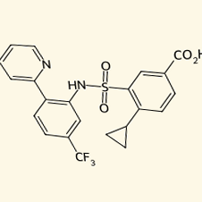 O=C(O)c1ccc(C2CC2)c(S(=O)(=O)Nc2cc(C(F)(F)F)ccc2-c2ccccn2)c1